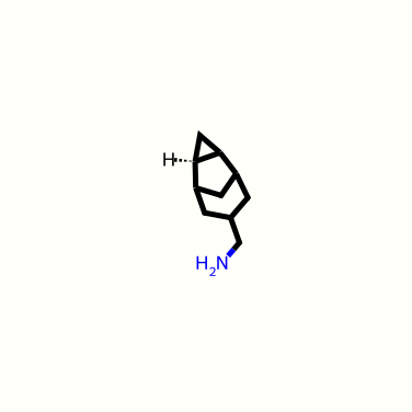 NCC1CC2CC(C1)[C@H]1CC21